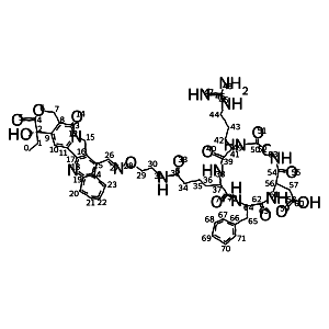 CC[C@@]1(O)C(=O)OCc2c1cc1n(c2=O)Cc2c-1nc1ccccc1c2C=NOCCNC(=O)CCCC1NC(=O)C(CCCNC(=N)N)NC(=O)CNC(=O)C(CC(=O)O)NC(=O)C(Cc2ccccc2)NC1=O